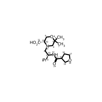 CC(C)[C@@H](CN1CC(C)(C)OC[C@H]1C(=O)O)NC(=O)C1CCOC1